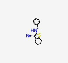 N#Cc1c(NCc2ccccc2)sc2c1CCCC2